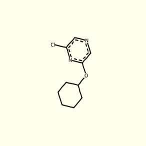 Clc1cncc(OC2CCCCC2)n1